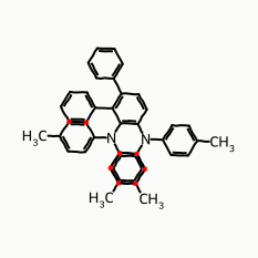 Cc1ccc(N(c2ccc(C)cc2)c2ccc(-c3ccccc3)c(-c3ccccc3)c2N(c2ccc(C)cc2)c2ccc(C)cc2)cc1